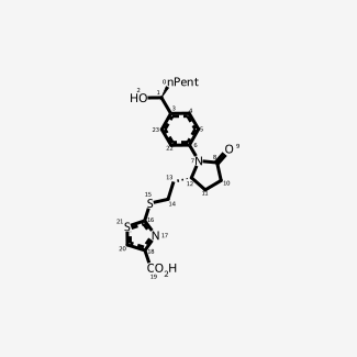 CCCCC[C@H](O)c1ccc(N2C(=O)CC[C@@H]2CCSc2nc(C(=O)O)cs2)cc1